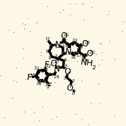 COCCOC1CC2(CCC(C)N3CC2n2cc(C(N)=O)c(=O)cc2C3=O)ON1Cc1c(F)cc(F)cc1F